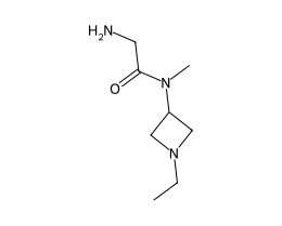 CCN1CC(N(C)C(=O)CN)C1